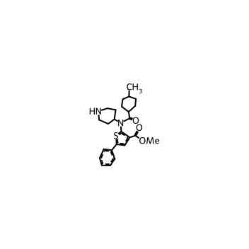 COC(=O)c1cc(-c2ccccc2)sc1N(C(=O)C1CCC(C)CC1)C1CCNCC1